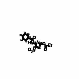 CCC(=O)Oc1nc(NC(=O)c2ccccc2)c([N+](=O)[O-])s1